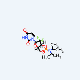 CC(C)N(C(C)C)P1OC[C@H]2O[C@@H](n3ccc(=O)[nH]c3=O)C(F)(F)[C@@H]2O1